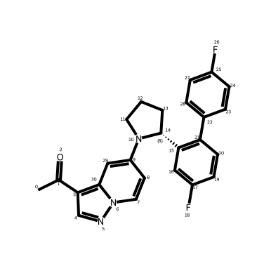 CC(=O)c1cnn2ccc(N3CCC[C@@H]3c3cc(F)ccc3-c3ccc(F)cc3)cc12